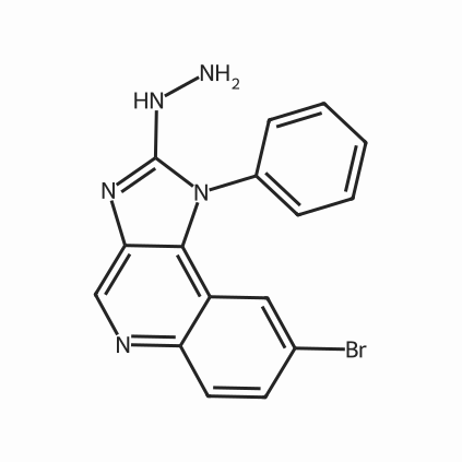 NNc1nc2cnc3ccc(Br)cc3c2n1-c1ccccc1